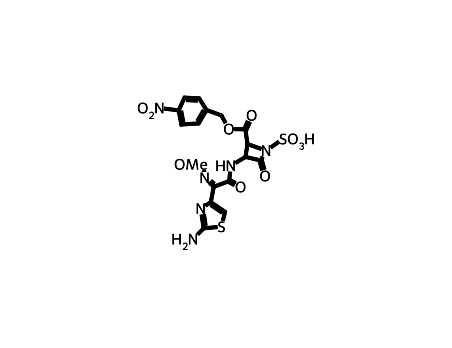 CON=C(C(=O)NC1C(=O)N(S(=O)(=O)O)C1C(=O)OCc1ccc([N+](=O)[O-])cc1)c1csc(N)n1